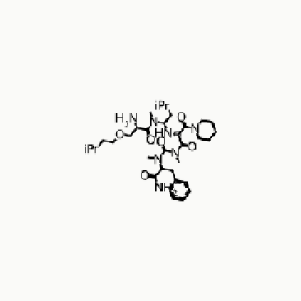 CC(C)CCOCC(N)C(=O)N(C)C(CC(C)C)N[C@H](C(=O)N1CCCCC1)C(=O)N(C)C(=O)N(C)C(Cc1ccccc1)C(N)=O